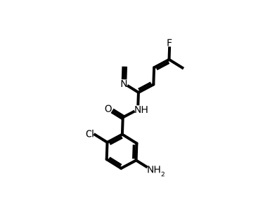 C=N/C(=C\C=C(/C)F)NC(=O)c1cc(N)ccc1Cl